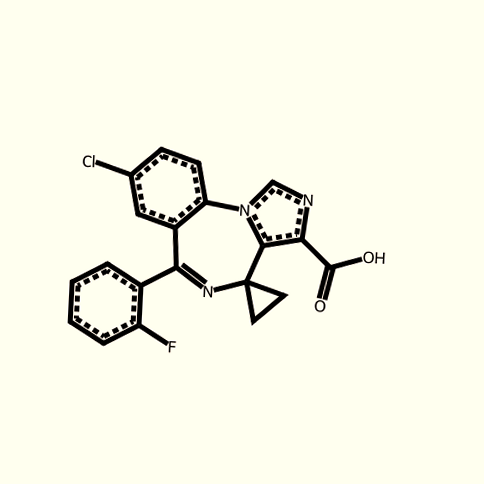 O=C(O)c1ncn2c1C1(CC1)N=C(c1ccccc1F)c1cc(Cl)ccc1-2